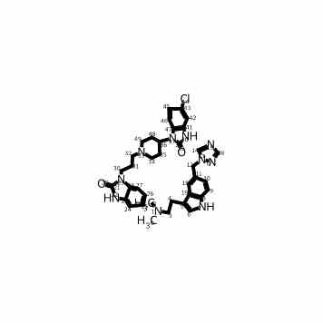 CN(C)CCc1c[nH]c2ccc(Cn3cncn3)cc12.O=c1[nH]c2ccccc2n1CCCN1CCC(n2c(=O)[nH]c3cc(Cl)ccc32)CC1